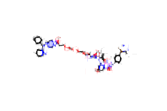 Cc1ncsc1-c1ccc(CNC(=O)[C@@H]2C[C@@H](O)CN2C(=O)[C@@H](NC(=O)CCOCCOCCOCCC(=O)N2CCN(C(c3ccccc3)c3ccccn3)CC2)C(C)(C)C)cc1